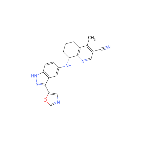 Cc1c(C#N)cnc2c1CCC[C@H]2Nc1ccc2[nH]nc(-c3cnco3)c2c1